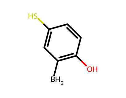 Bc1cc(S)ccc1O